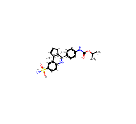 CC(C)OC(=O)Nc1ccc([C@H]2Nc3ccc(S(N)(=O)=O)cc3[C@H]3C=CC[C@H]32)cc1